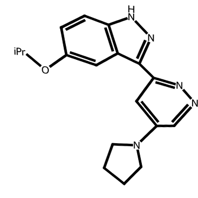 CC(C)Oc1ccc2[nH]nc(-c3cc(N4CCCC4)cnn3)c2c1